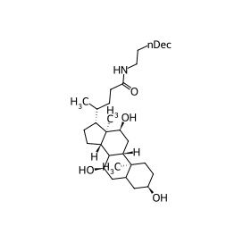 CCCCCCCCCCCCNC(=O)CCC(C)[C@H]1CC[C@H]2C3[C@H](O)CC4C[C@H](O)CC[C@]4(C)[C@H]3C[C@H](O)[C@]12C